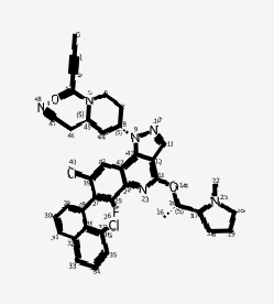 CC#CC(=O)N1CC[C@H](n2ncc3c(O[C@@H](C)C4CCCN4C)nc4c(F)c(-c5cccc6cccc(Cl)c56)c(Cl)cc4c32)C[C@H]1CC#N